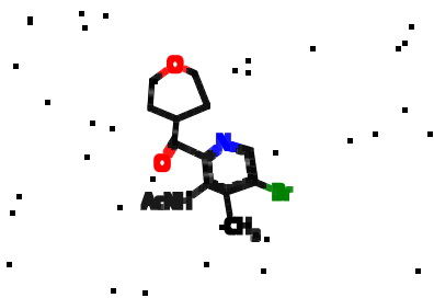 CC(=O)Nc1c(C(=O)C2CCOCC2)ncc(Br)c1C